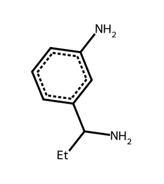 CCC(N)c1cccc(N)c1